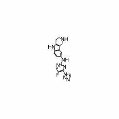 Fc1cnc(Nc2ccc3[nH]c4c(c3c2)CNCC4)nc1-n1ccnn1